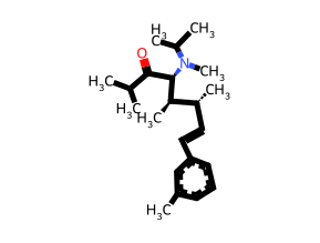 Cc1cccc(/C=C/[C@@H](C)[C@@H](C)[C@@H](C(=O)C(C)C)N(C)C(C)C)c1